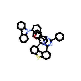 C1=Cc2c(oc3c(-c4cccc5sc6cccc(-c7nc(-c8ccccc8)nc(-c8ccccc8)n7)c6c45)cccc23)C(n2c3ccccc3c3ccccc32)C1